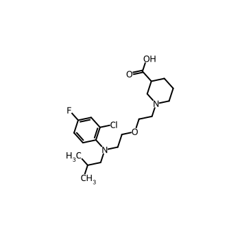 CC(C)CN(CCOCCN1CCCC(C(=O)O)C1)c1ccc(F)cc1Cl